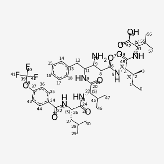 CC[C@H](C)[C@H](NC(=O)CC(N)C(Cc1ccccc1)NC(=O)[C@@H](NC(=O)[C@H](CC(C)C)NC(=O)c1ccc(OC(F)(F)F)cc1)C(C)C)C(=O)N[C@H](C(=O)O)C(C)C